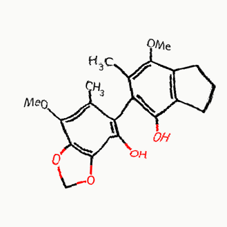 COc1c(C)c(-c2c(C)c(OC)c3c(c2O)OCO3)c(O)c2c1CCC2